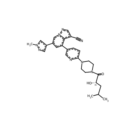 CC(C)C[C@H](O)C(=O)N1CCN(c2ccc(-c3cc(-c4cnn(C)c4)cn4ncc(C#N)c34)cn2)CC1